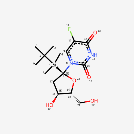 CC(C)(C)[Si](C)(C)[C@]1(n2cc(F)c(=O)[nH]c2=O)C[C@H](O)[C@@H](CO)O1